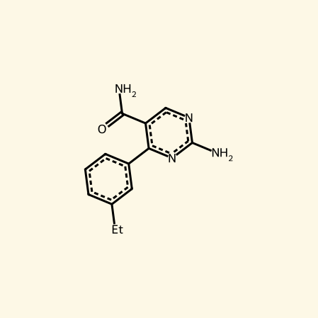 CCc1cccc(-c2nc(N)ncc2C(N)=O)c1